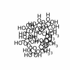 C[C@H](CC[C@@H](OC1OC(COC2OC(CO)C(O)C(O)C2O)C(O)C(O)C1OC1OC(CO)C(O)C(O)C1O)C(C)(C)O)[C@H]1CC[C@@]2(C)[C@@H]3CC=C4[C@@H](CC[C@H](OC5OC(COC6OC(CO)C(O)C(O)C6O)C(O)C(O)C5O)C4(C)C)[C@]3(C)[C@H](O)C[C@]12C